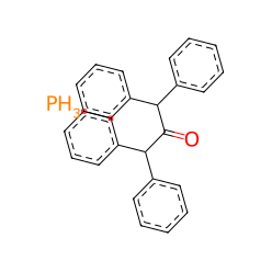 O=C(C(c1ccccc1)c1ccccc1)C(c1ccccc1)c1ccccc1.P